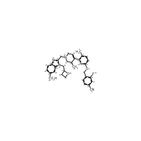 Cc1ccc(OCc2ccc(C#N)cc2F)nc1C1=CCN(Cc2nc3ccc(C(=O)O)cc3n2CC2CCO2)CC1C